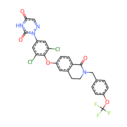 O=C1c2ccc(Oc3c(Cl)cc(-n4ncc(=O)[nH]c4=O)cc3Cl)cc2CCN1Cc1ccc(OC(F)(F)F)cc1